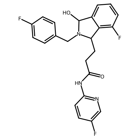 O=C(CCC1c2c(F)cccc2C(O)N1Cc1ccc(F)cc1)Nc1ccc(F)cn1